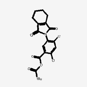 CC(C)(C)C(=O)OC(=O)c1cc(N2C(=O)C3=C(CCCC3)C2=O)c(Cl)cc1Cl